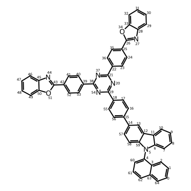 c1ccc2c(-n3c4ccccc4c4cc(-c5ccc(-c6nc(-c7ccc(-c8nc9ccccc9o8)cc7)nc(-c7ccc(-c8nc9ccccc9o8)cc7)n6)cc5)ccc43)cccc2c1